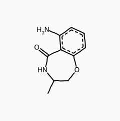 CC1COc2cccc(N)c2C(=O)N1